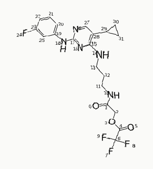 O=C(COC(=O)C(F)(F)F)NCCCNc1nc(Nc2cccc(F)c2)ncc1C1CC1